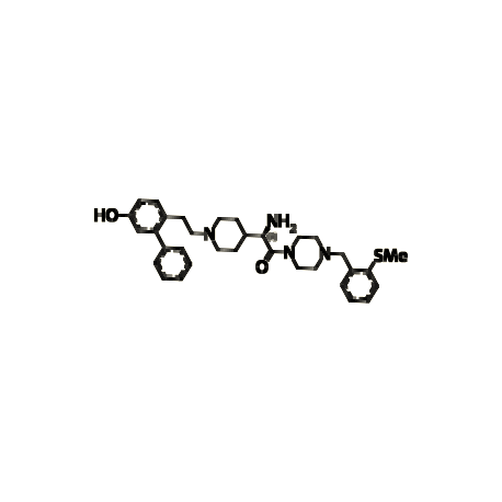 CSc1ccccc1CN1CCN(C(=O)[C@H](N)C2CCN(CCc3ccc(O)cc3-c3ccccc3)CC2)CC1